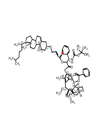 CO[C@H]1C(=O)[C@]2(C)[C@@H](OC)C[C@H]3OC[C@@]3(OC(C)=O)[C@H]2[C@H](OC(=O)c2ccccc2)[C@]2(O)C[C@H](OC(=O)C(OC(=O)/C=C/CO[C@H]3CC[C@@]4(C)C(=CCC5C4CC[C@@]4(C)C5CC[C@@H]4[C@H](C)CCCC(C)C)C3)[C@@H](NC(=O)OC(C)(C)C)c3ccccc3)C(C)=C1C2(C)C